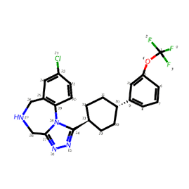 FC(F)(F)Oc1cccc([C@H]2CC[C@H](c3nnc4n3-c3ccc(Cl)cc3CNC4)CC2)c1